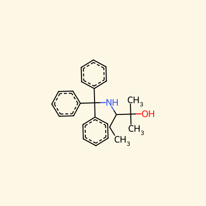 CCC(NC(c1ccccc1)(c1ccccc1)c1ccccc1)C(C)(C)O